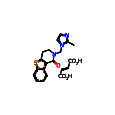 Cc1nccn1CN1CCc2sc3ccccc3c2C1=O.O=C(O)C=CC(=O)O